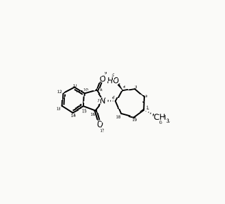 C[C@H]1CC[C@H](O)[C@@H](N2C(=O)c3ccccc3C2=O)CC1